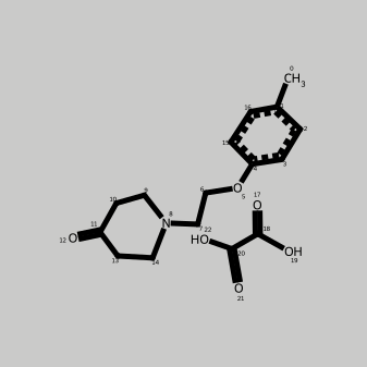 Cc1ccc(OCCN2CCC(=O)CC2)cc1.O=C(O)C(=O)O